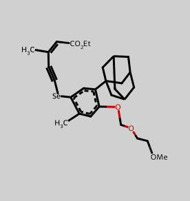 CCOC(=O)C=C(C)C#C[Se]c1cc(C23CC4CC(CC(C4)C2)C3)c(OCOCCOC)cc1C